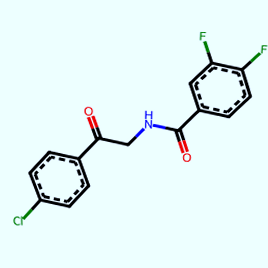 O=C(CNC(=O)c1ccc(F)c(F)c1)c1ccc(Cl)cc1